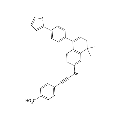 CC1(C)CC=C(c2ccc(-c3cccs3)cc2)c2ccc([Se]C#Cc3ccc(C(=O)O)cc3)cc21